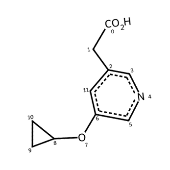 O=C(O)Cc1cncc(OC2CC2)c1